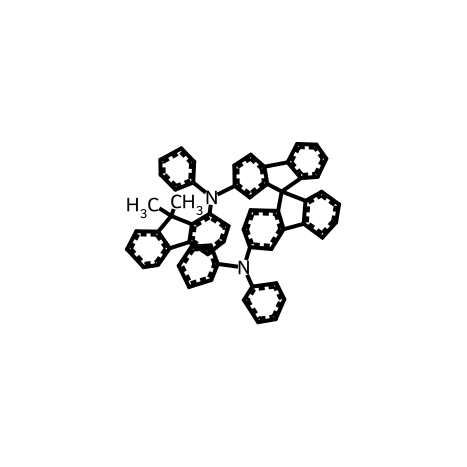 CC1(C)c2ccccc2-c2cccc(N(c3ccccc3)c3ccc4c(c3)C3(c5ccccc5-c5cc(N(c6ccccc6)c6ccccc6)ccc53)c3ccccc3-4)c21